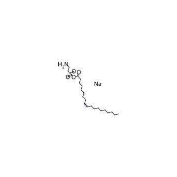 CCCCCCCCC/C=C\CCCCCCCC(=O)OS(=O)(=O)CCN.[Na]